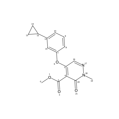 COC(=O)c1c(Oc2cccc(C3CC3)c2)cnn(C)c1=O